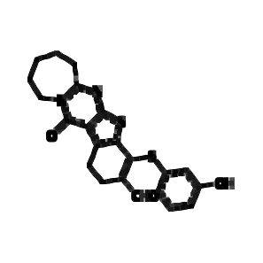 O=CC1=C(Sc2cccc(O)c2)c2sc3nc4n(c(=O)c3c2CC1)CCCCC4